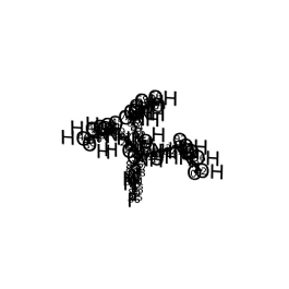 O=C(O)CCC(NC(=O)N[C@@H](CCCCNC(=O)CCC(CCC(=O)NCCCC[C@H](NC(=O)NC(CCC(=O)O)C(=O)O)C(=O)O)(CCC(=O)NCCCC[C@H](NC(=O)NC(CCC(=O)O)C(=O)O)C(=O)O)NC(=O)c1ccc(-n2cc(CCCF)nn2)cc1)C(=O)O)C(=O)O